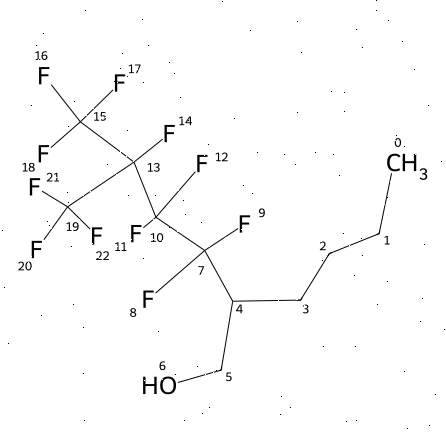 CCCCC(CO)C(F)(F)C(F)(F)C(F)(C(F)(F)F)C(F)(F)F